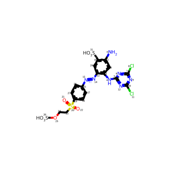 Nc1cc(Nc2nc(Cl)nc(Cl)n2)c(/N=N/c2ccc(S(=O)(=O)CCOS(=O)(=O)O)cc2)cc1S(=O)(=O)O